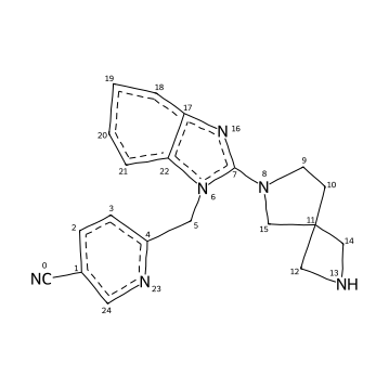 N#Cc1ccc(Cn2c(N3CCC4(CNC4)C3)nc3ccccc32)nc1